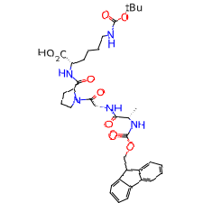 C[C@H](NC(=O)OCC1c2ccccc2-c2ccccc21)C(=O)NCC(=O)N1CCC[C@H]1C(=O)N[C@@H](CCCCNC(=O)OC(C)(C)C)C(=O)O